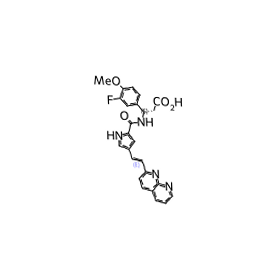 COc1ccc([C@H](CC(=O)O)NC(=O)c2cc(/C=C/c3ccc4cccnc4n3)c[nH]2)cc1F